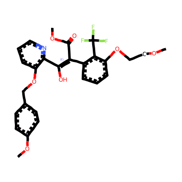 COCCOc1cccc(/C(C(=O)OC)=C(\O)c2ncccc2OCc2ccc(OC)cc2)c1C(F)(F)F